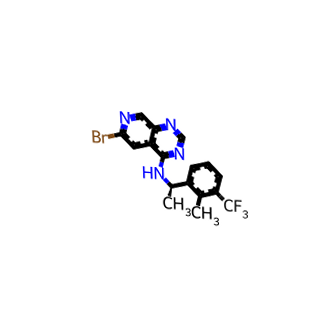 Cc1c([C@@H](C)Nc2ncnc3cnc(Br)cc23)cccc1C(F)(F)F